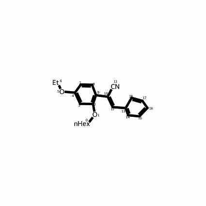 CCCCCCOc1cc(OCC)ccc1C(C#N)=Cc1ccccc1